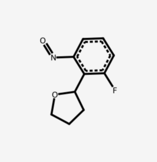 O=Nc1cccc(F)c1C1CCCO1